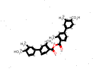 Cc1cc(-c2ccc(C(=O)OC(=O)c3ccc(-c4ccc(C(=O)O)c(C)c4)cc3C)c(C)c2)ccc1C(=O)O